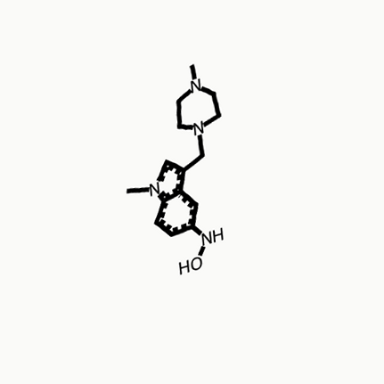 CN1CCN(Cc2cn(C)c3ccc(NO)cc23)CC1